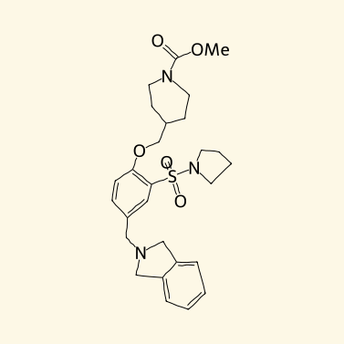 COC(=O)N1CCC(COc2ccc(CN3Cc4ccccc4C3)cc2S(=O)(=O)N2CCCC2)CC1